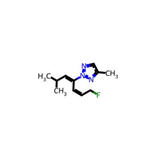 Cc1cnn(C(/C=C\CF)=C/C(C)C)n1